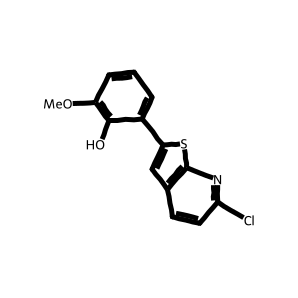 COc1cccc(-c2cc3ccc(Cl)nc3s2)c1O